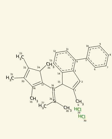 CC1=Cc2c(-c3ccccc3)cccc2[CH]1[Ti]([C]1=C(C)C(C)=C(C)C1C)=[Si](C)C.Cl.Cl